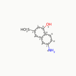 Nc1[c]c2cc(S(=O)(=O)O)[c]c(O)c2cc1